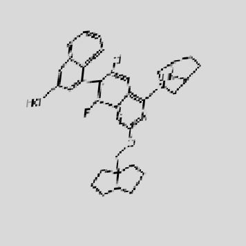 Oc1cc(-c2c(Cl)cc3c(N4CC5CCC(C4)N5)nc(OCC45CCCC4CCC5)nc3c2F)c2ccccc2c1